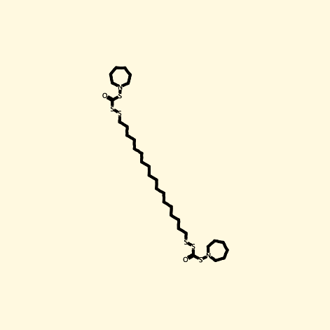 O=C(SSCCCCCCCCCCCCCCCCCCSSC(=O)SN1CCCCCC1)SN1CCCCCC1